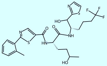 Cc1ccccc1-c1ncc(C(=O)N[C@@H](CCC(C)O)C(=O)N[C@@H](CCCC(F)(F)F)C(O)c2nccs2)s1